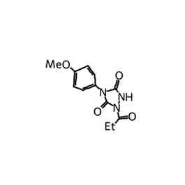 CCC(=O)n1[nH]c(=O)n(-c2ccc(OC)cc2)c1=O